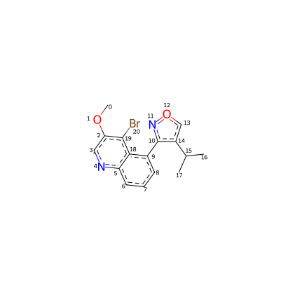 COc1[c]nc2cccc(-c3nocc3C(C)C)c2c1Br